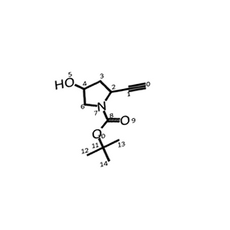 C#CC1CC(O)CN1C(=O)OC(C)(C)C